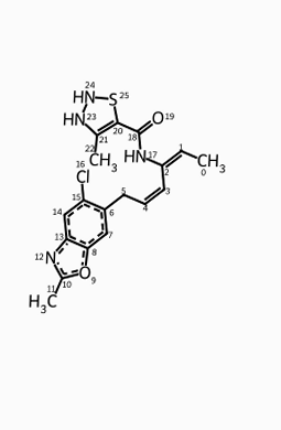 C/C=C(\C=C/Cc1cc2oc(C)nc2cc1Cl)NC(=O)C1=C(C)NNS1